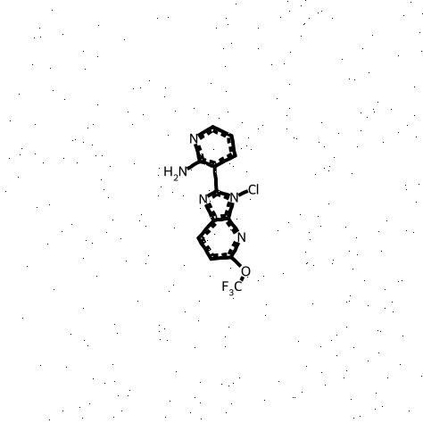 Nc1ncccc1-c1nc2ccc(OC(F)(F)F)nc2n1Cl